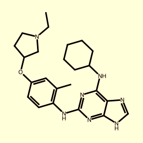 CCN1CCC(Oc2ccc(Nc3nc(NC4CCCCC4)c4nc[nH]c4n3)c(C)c2)C1